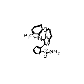 Cc1cccc(C)c1Nc1c(-c2ccccc2OC(N)=O)nc2ccccn12